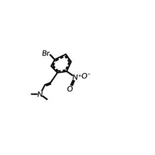 CN(C)C=Cc1cc(Br)ccc1[N+](=O)[O-]